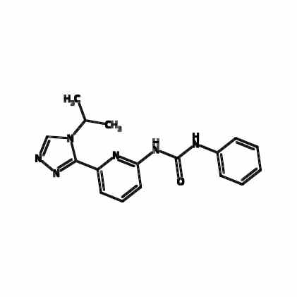 CC(C)n1cnnc1-c1cccc(NC(=O)Nc2ccccc2)n1